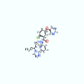 CC(C)n1cnnc1-c1cccc(NC(=O)c2cc(Oc3cncnc3)ccc2F)n1